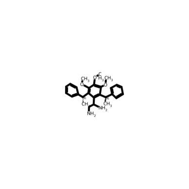 COc1c(OC)c([C@H](C)c2ccccc2)c(C(N)CN)c([C@H](C)c2ccccc2)c1OC